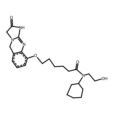 O=C1CN2Cc3cccc(OCCCCCC(=O)N(CCO)C4CCCCC4)c3N=C2N1